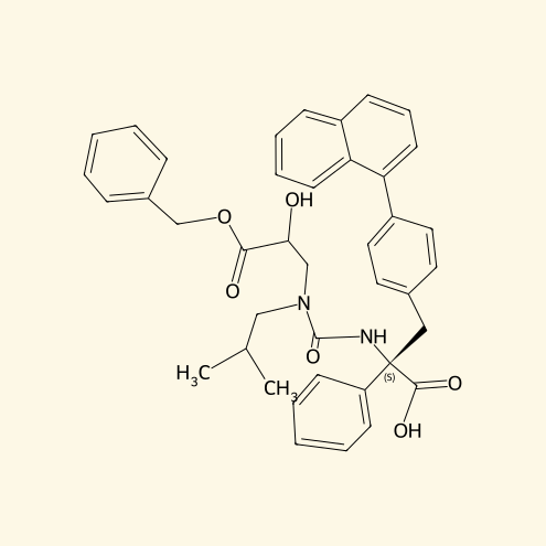 CC(C)CN(CC(O)C(=O)OCc1ccccc1)C(=O)N[C@](Cc1ccc(-c2cccc3ccccc23)cc1)(C(=O)O)c1ccccc1